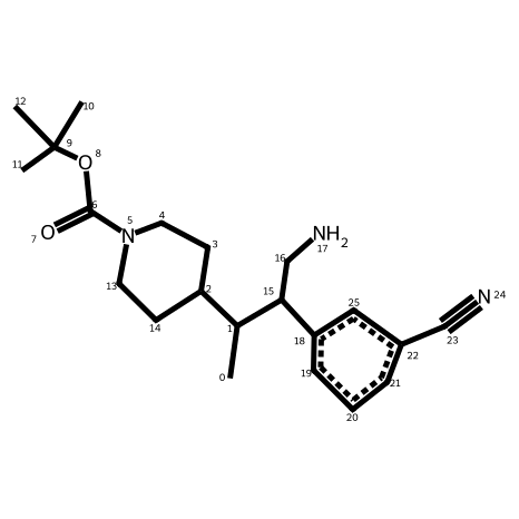 CC(C1CCN(C(=O)OC(C)(C)C)CC1)C(CN)c1cccc(C#N)c1